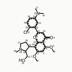 COc1cc(OC)c2c(=O)cc(-c3cc(N(C)C)ccc3Cl)oc2c1C1CCN(C)C1CO